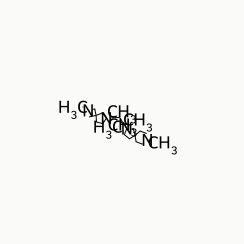 CN1CCC2(CC1)CCN(C(C)(C)CC(C)(C)N1CCC3(CN(C)C3)C1)C2